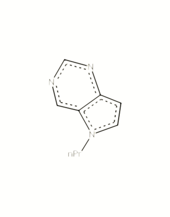 CCCn1ccc2ncncc21